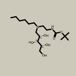 CCCCCCN(CCNC(=O)OC(C)(C)C)C[C@H](O)[C@@H](O)[C@H](O)CO